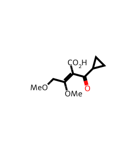 COC/C(OC)=C(\C(=O)O)C(=O)C1CC1